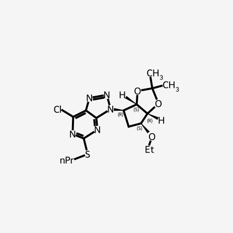 CCCSc1nc(Cl)c2nnn([C@@H]3C[C@H](OCC)[C@H]4OC(C)(C)O[C@H]43)c2n1